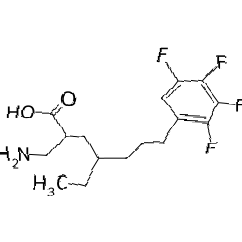 CCC(CCCc1cc(F)c(F)c(F)c1F)CC(CN)C(=O)O